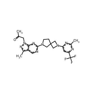 CC(=O)Cn1nc(C)c2cnc(N3CCC4(CN(c5cc(C(F)(F)F)nc(C)n5)C4)C3)nc21